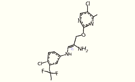 Cc1nc(OC/C(N)=C/Nc2ccc(Cl)c(C(C)(F)F)c2)ncc1Cl